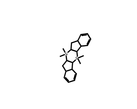 C[Si]1(C)C2CC3C=CC=CC3C2[Si](C)(C)C2C3C=CC=CC3CC21